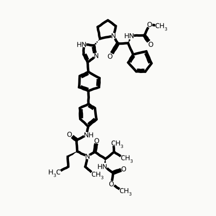 CCC[C@@H](C(=O)Nc1ccc(-c2ccc(-c3c[nH]c([C@@H]4CCCN4C(=O)[C@H](NC(=O)OC)c4ccccc4)n3)cc2)cc1)N(CC)C(=O)[C@@H](NC(=O)OC)C(C)C